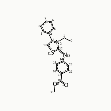 CCn1c(-c2ccccc2)csc1=Nc1ccc(C(=O)OC)cc1